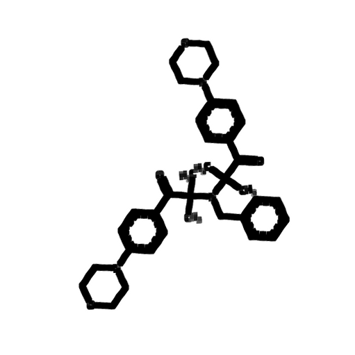 CC(C)(C(=O)c1ccc(N2CCOCC2)cc1)N(Cc1ccccc1)C(C)(C)C(=O)c1ccc(N2CCOCC2)cc1